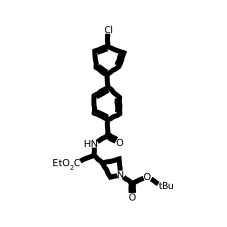 CCOC(=O)C(NC(=O)c1ccc(-c2ccc(Cl)cc2)cc1)C1CN(C(=O)OC(C)(C)C)C1